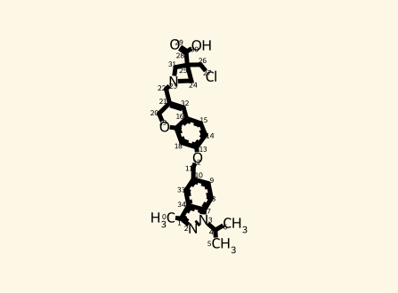 Cc1nn(C(C)C)c2ccc(COc3ccc4c(c3)OCC(CN3CC(CCl)(C(=O)O)C3)=C4)cc12